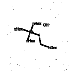 CCCCCCCCCCCC[N+](CCCCCC)(CCCCCC)CCCCCC.[OH-]